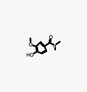 COc1cc(C(=O)N(C)C)ccc1O